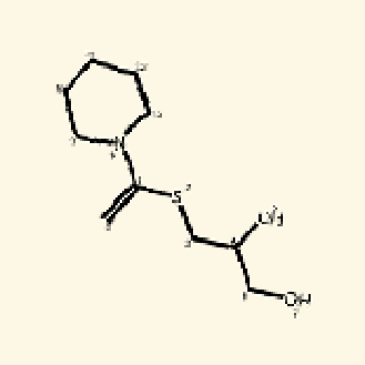 C=C(SCC(O)CO)N1CCCCC1